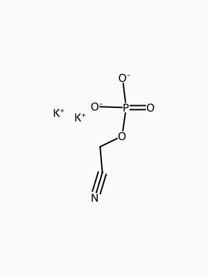 N#CCOP(=O)([O-])[O-].[K+].[K+]